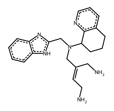 NCC=C(CN)CN(Cc1nc2ccccc2[nH]1)C1CCCc2cccnc21